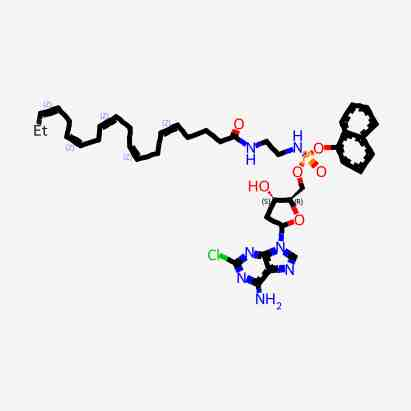 CC/C=C\C/C=C\C/C=C\C/C=C\C/C=C\CCCC(=O)NCCNP(=O)(OC[C@H]1OC(n2cnc3c(N)nc(Cl)nc32)C[C@@H]1O)Oc1cccc2ccccc12